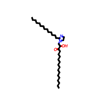 CCCCCCCCCCCCCCCC(=O)C(O)CN1CCN=C1CCCCCCCCCCCCCC